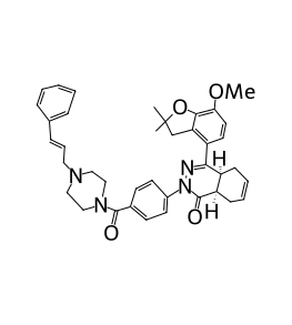 COc1ccc(C2=NN(c3ccc(C(=O)N4CCN(C/C=C/c5ccccc5)CC4)cc3)C(=O)[C@@H]3CC=CC[C@H]23)c2c1OC(C)(C)C2